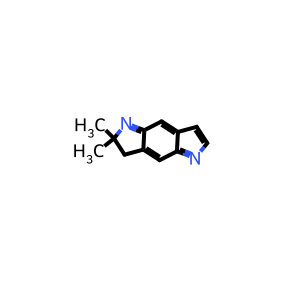 CC1(C)Cc2cc3c(cc2=N1)C=CN=3